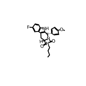 CCCCN1C(=O)[C@@H]2Cc3c([nH]c4ccc(F)cc34)[C@H](c3ccc(OC)cc3)N2C1=O